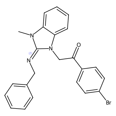 Cn1/c(=N/Cc2ccccc2)n(CC(=O)c2ccc(Br)cc2)c2ccccc21